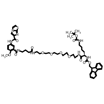 COc1ccc(NC(=O)c2cn3ccsc3n2)cc1C(=O)NCCCC(=O)NCCOCCOCCOCCOCCNC(=O)[C@@H](CCCCNC(=O)OC(C)(C)C)NC(=O)OCC1c2ccccc2-c2ccccc21